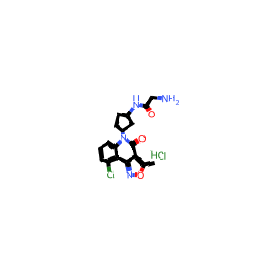 Cc1onc2c1c(=O)n(C1CCC(NC(=O)CN)C1)c1cccc(Cl)c21.Cl